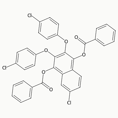 O=C(Oc1c(Oc2ccc(Cl)cc2)c(Oc2ccc(Cl)cc2)c(OC(=O)c2ccccc2)c2cc(Cl)ccc12)c1ccccc1